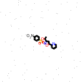 CC(OS(=O)(=O)c1ccc([N+](=O)[O-])cc1)c1cc(-c2ccccn2)on1